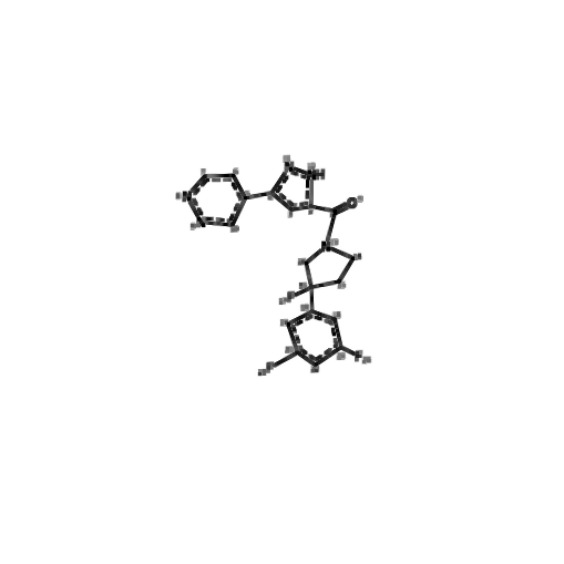 O=C(c1cc(-c2ccnnc2)n[nH]1)N1CCC(F)(c2cc(F)cc(F)c2)C1